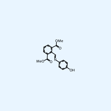 COC(=O)c1cccc(C(=O)OC)c1/C=N/c1ccc(O)cc1